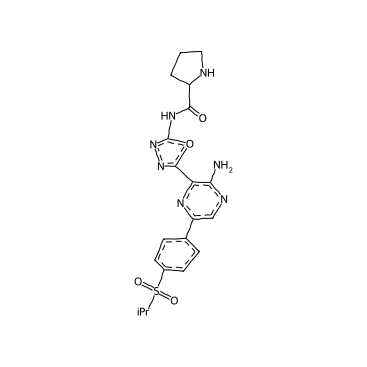 CC(C)S(=O)(=O)c1ccc(-c2cnc(N)c(-c3nnc(NC(=O)C4CCCN4)o3)n2)cc1